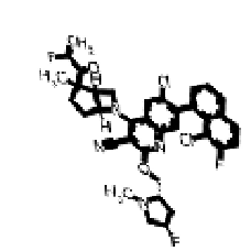 C=C(F)C(=O)C1(C)CC[C@@H]2[C@H]1CN2c1c(C#N)c(OC[C@@H]2C[C@@H](F)CN2C)nc2cc(-c3cccc4ccc(F)c(Cl)c34)c(Cl)cc12